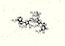 COC1C(O)C(COP(=O)(S)OC2C(COP(=O)(O)OC)OC(n3cnc4c(=O)[nH]c(N)nc43)C2OC)OC1n1cnc2c(N)ncnc21